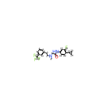 CN(CCc1cccc(C(F)(F)F)c1)CC(=O)Nc1ccc(C2CC2)c(F)c1